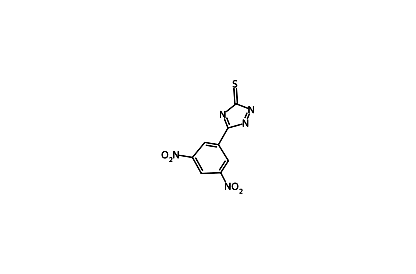 O=[N+]([O-])c1cc(C2=NC(=S)N=N2)cc([N+](=O)[O-])c1